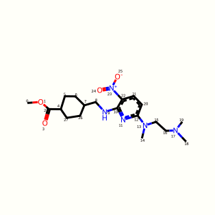 COC(=O)C1CCC(CNc2nc(N(C)CCN(C)C)ccc2[N+](=O)[O-])CC1